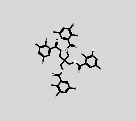 O=C(CCC(COC(=O)c1cc(I)cc(I)c1I)(COC(=O)c1cc(I)cc(I)c1I)COC(=O)c1cc(I)cc(I)c1I)c1cc(I)cc(I)c1I